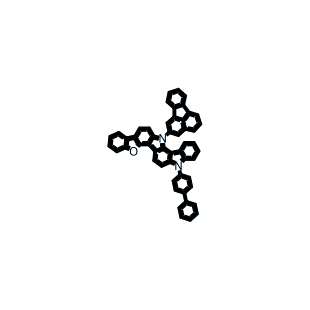 c1ccc(-c2ccc(-n3c4ccccc4c4c3ccc3c5c6oc7ccccc7c6ccc5n(-c5cc6c7c(cccc7c5)-c5ccccc5-6)c34)cc2)cc1